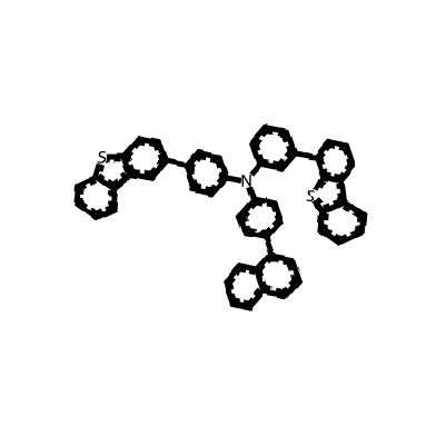 c1cc(-c2cccc3c2sc2ccccc23)cc(N(c2ccc(-c3ccc4sc5ccccc5c4c3)cc2)c2ccc(-c3cccc4ccccc34)cc2)c1